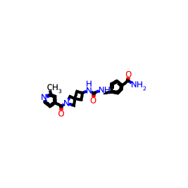 Cc1cc(C(=O)N2CC3(CC(NC(=O)NCc4ccc(C(N)=O)cc4)C3)C2)ccn1